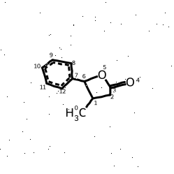 CC1CC(=O)OC1c1ccccc1